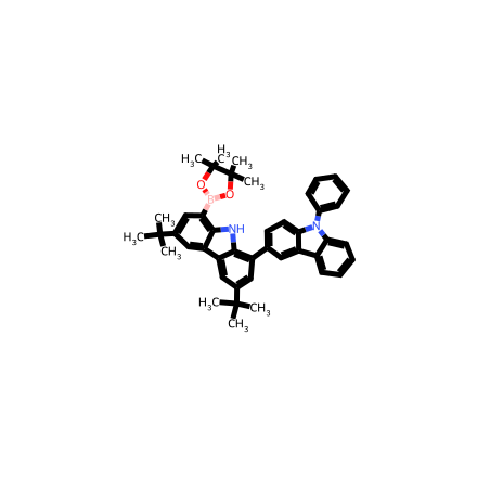 CC(C)(C)c1cc(B2OC(C)(C)C(C)(C)O2)c2[nH]c3c(-c4ccc5c(c4)c4ccccc4n5-c4ccccc4)cc(C(C)(C)C)cc3c2c1